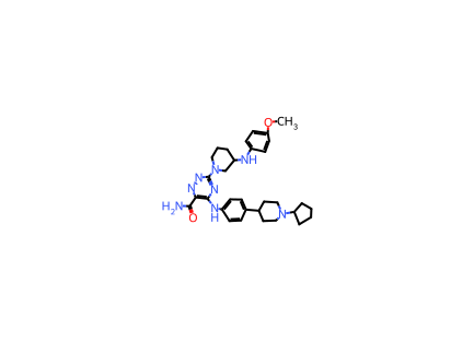 COc1ccc(NC2CCCN(c3nnc(C(N)=O)c(Nc4ccc(C5CCN(C6CCCC6)CC5)cc4)n3)C2)cc1